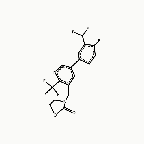 CC(F)(F)c1ncc(-c2ccc(F)c(C(F)F)c2)cc1CN1CCOC1=O